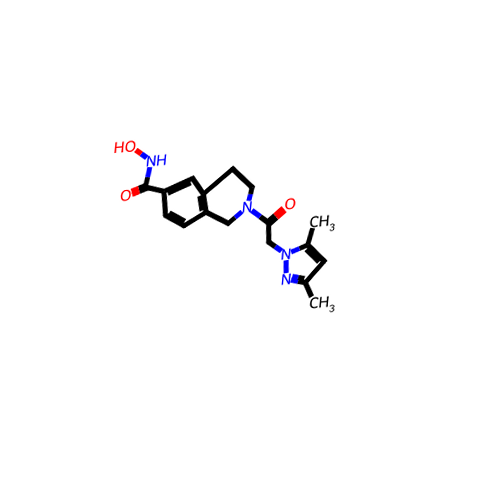 Cc1cc(C)n(CC(=O)N2CCc3cc(C(=O)NO)ccc3C2)n1